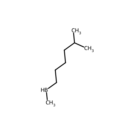 CBCCCCC(C)C